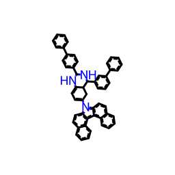 C1=C2NC(c3ccc(-c4ccccc4)cc3)NC(c3cccc(-c4ccccc4)c3)C2CC(n2c3ccc4ccccc4c3c3c4ccccc4ccc32)=C1